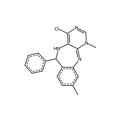 Cc1ccc2c(c1)N=C1C(=C(Cl)N=CN1C)NC2c1ccccc1